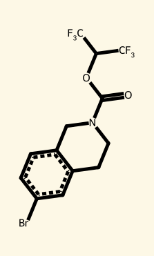 O=C(OC(C(F)(F)F)C(F)(F)F)N1CCc2cc(Br)ccc2C1